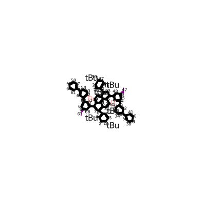 CC(C)(C)c1cc(C(C)(C)C)c(-c2cc3c4c(cc5c(-c6c(C(C)(C)C)cc(C(C)(C)C)cc6C(C)(C)C)cc6c7c(cc2c4c57)B2c4ccc(-c5ccccc5)cc4-c4cc(I)cc-6c42)B2c4ccc(-c5ccccc5)cc4-c4cc(I)cc-3c42)c(C(C)(C)C)c1